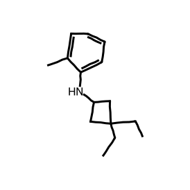 CCC1(CC)CC(Nc2ccccc2C)C1